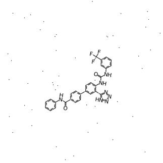 O=C(Nc1cccc(C(F)(F)F)c1)Nc1ccc(-c2ccc(C(=O)Nc3ccccc3)cc2)cc1-c1nnn[nH]1